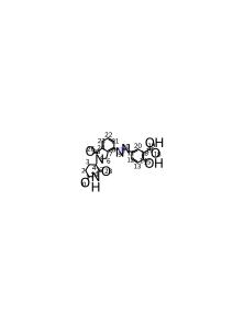 O=C1CCC(N2Cc3c(/N=N/c4ccc(O)c(C(=O)O)c4)cccc3C2=O)C(=O)N1